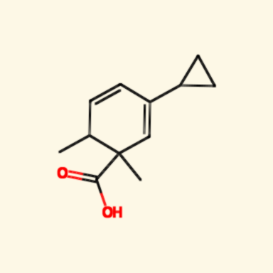 CC1C=CC(C2CC2)=CC1(C)C(=O)O